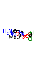 COCC1C(=O)N(Cc2ccc3c(N)ncnc3c2)CCN1C(=O)COc1sc(Cl)cc1Cl